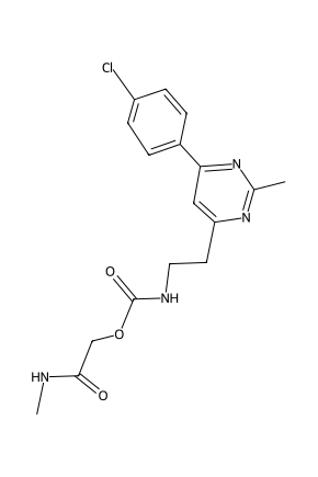 CNC(=O)COC(=O)NCCc1cc(-c2ccc(Cl)cc2)nc(C)n1